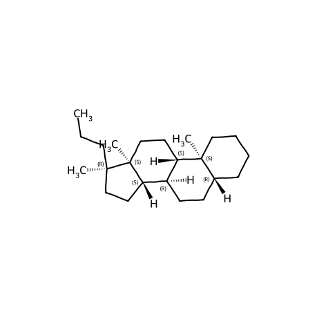 CCC[C@]1(C)CC[C@H]2[C@@H]3CC[C@H]4CCCC[C@]4(C)[C@H]3CC[C@@]21C